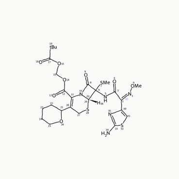 CO/N=C(\C(=O)NC1(SC)C(=O)N2C(C(=O)OCOC(=O)C(C)(C)C)=C(C3CCCCO3)CS[C@H]21)c1csc(N)n1